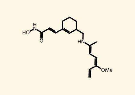 C=C/C(=C\C=C(/C)NCC1C=C(/C=C/C(=O)NO)CCC1)OC